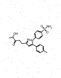 Cc1ccc(-c2cc(CCC(=O)N(C)O)nn2-c2ccc(S(N)(=O)=O)cc2)cc1